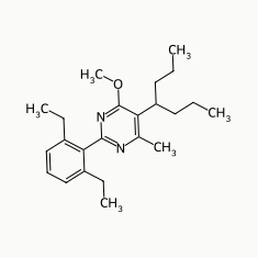 CCCC(CCC)c1c(C)nc(-c2c(CC)cccc2CC)nc1OC